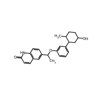 CC(Oc1cccc(C2CC(O)CCC2C)c1)c1ccc2[nH]c(=O)ccc2c1